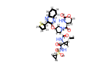 C=C[C@@H]1C[C@]1(NC(=O)[C@@H]1C[C@@H](Oc2nc3ccccc3nc2-c2cccs2)CN1C(=O)[C@@H]1CCOC(=O)N1)C(=O)NS(=O)(=O)C1CC1